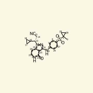 CC1(S(=O)(=O)c2ccc(Nc3nn([C@@H](CC#N)C4CC4)c4cc[nH]c(=O)c34)cc2)CC1